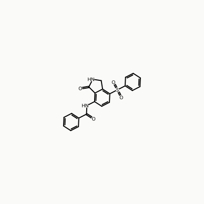 O=C(Nc1ccc(S(=O)(=O)c2ccccc2)c2c1C(=O)NC2)c1ccccc1